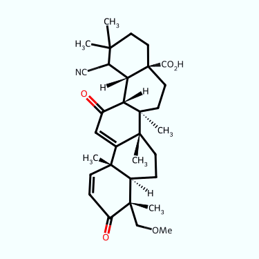 COC[C@]1(C)C(=O)C=C[C@]2(C)C3=CC(=O)[C@@H]4[C@@H]5C(C#N)C(C)(C)CC[C@]5(C(=O)O)CC[C@@]4(C)[C@]3(C)CC[C@H]21